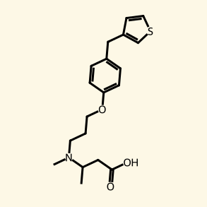 CC(CC(=O)O)N(C)CCCOc1ccc(Cc2ccsc2)cc1